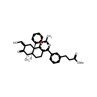 COC(=O)CCc1cccc(-c2nc(C)nc3c2CC[C@H]2[C@H](C)C(=O)/C(=C\O)C[C@]32c2ccccc2)c1